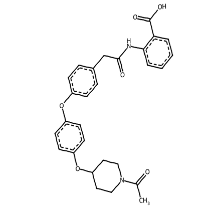 CC(=O)N1CCC(Oc2ccc(Oc3ccc(CC(=O)Nc4ccccc4C(=O)O)cc3)cc2)CC1